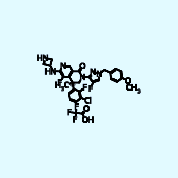 COc1ccc(Cn2cc(F)c(N3C[C@](C)(c4cccc(Cl)c4F)c4c(cnc(NC5CNC5)c4F)C3=O)n2)cc1.O=C(O)C(F)(F)F